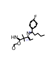 C/C=C(\N=C(/CCCC)c1ccc(F)cc1)C(C)(C)C(=N)OC=O